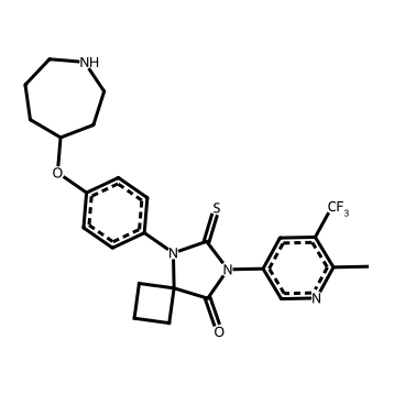 Cc1ncc(N2C(=O)C3(CCC3)N(c3ccc(OC4CCCNCC4)cc3)C2=S)cc1C(F)(F)F